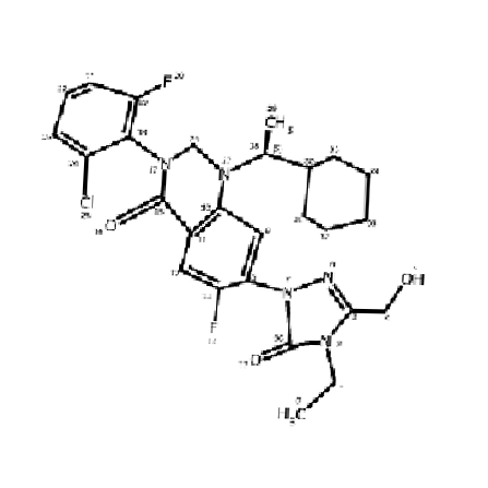 CCn1c(CO)nn(-c2cc3c(cc2F)C(=O)N(c2c(F)cccc2Cl)CN3[C@@H](C)C2CCCCC2)c1=O